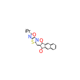 CC(C)c1nc2sc(C=C3C(=O)c4cc5ccccc5cc4C3=O)nc2o1